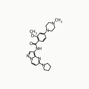 COc1cc(N2CCN(C)CC2)ccc1C(=O)Nc1cnn2ccc(N3CCCC3)nc12